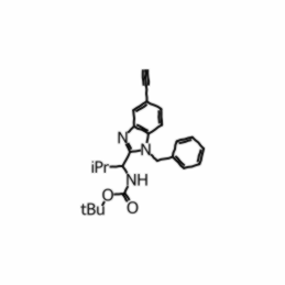 C#Cc1ccc2c(c1)nc(C(NC(=O)OC(C)(C)C)C(C)C)n2Cc1ccccc1